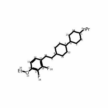 CCCC1CCC(C2CCC(CCc3ccc(OCC)c(F)c3F)CC2)CC1